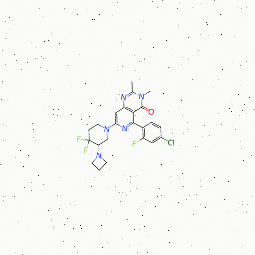 Cc1nc2cc(N3CCC(F)(F)[C@@H](N4CCC4)C3)nc(-c3ccc(Cl)cc3F)c2c(=O)n1C